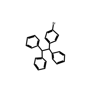 Brc1ccc(C([C](c2ccccc2)c2ccccc2)c2ccccc2)cc1